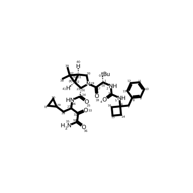 CC(C)(C)[C@H](NC(=O)NC1(Cc2ccccc2)CCC1)C(=O)N1C[C@H]2[C@@H]([C@H]1C(=O)NC(CC1CC1)C(=O)C(N)=O)C2(C)C